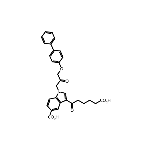 O=C(O)CCCCC(=O)c1cn(CC(=O)COc2ccc(-c3ccccc3)cc2)c2ccc(C(=O)O)cc12